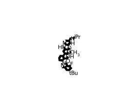 CC(C)NCc1ccc(Nc2cc(-c3cccc(-n4ncc5cc(C(C)(C)C)cc(F)c5c4=O)c3CO)cn(C)c2=O)nc1